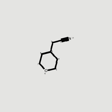 N#C[CH]C1CCOCC1